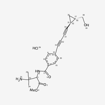 COC(=O)C(NC(=O)c1ccc(C#CC#C[C@H]2C[C@@H]2CO)cc1)C(C)(C)N.Cl